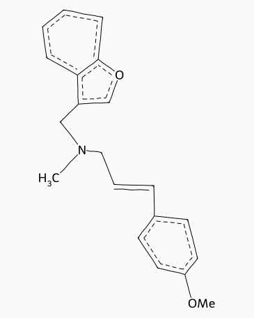 COc1ccc(/C=C/CN(C)Cc2coc3ccccc23)cc1